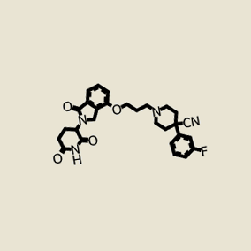 N#CC1(c2cccc(F)c2)CCN(CCCOc2cccc3c2CN(C2CCC(=O)NC2=O)C3=O)CC1